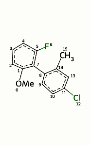 COc1cccc(F)c1-c1ccc(Cl)cc1C